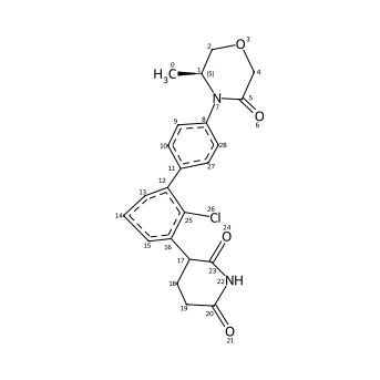 C[C@H]1COCC(=O)N1c1ccc(-c2cccc(C3CCC(=O)NC3=O)c2Cl)cc1